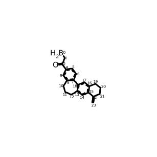 BCC(=O)c1ccc2c(c1)CCCc1cc3c(cc1-2)CCCC3=C